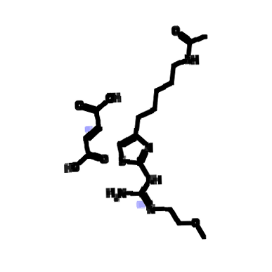 COCC/N=C(/N)Nc1nc(CCCCCNC(C)=O)cs1.O=C(O)/C=C/C(=O)O